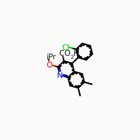 Cc1cc2nc(OC(C)C)c(C(=O)O)c(-c3ccccc3Cl)c2cc1C